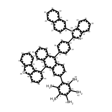 Bc1c(B)c(B)c(-c2ccc3c(-c4ccc(-c5nc6ccccc6n5-c5ccc6ccccc6c5)cc4)c4ccccc4c(-c4cccc5oc6ccccc6c45)c3c2)c(B)c1B